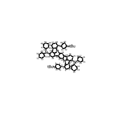 CC(C)(C)c1ccc(-c2cccc3c4c(N(c5ccccc5)c5ccccc5)ccc5c6cc7c(cc6n(c23)c54)c2ccc(N(c3ccccc3)c3ccccc3)c3c4cccc(-c5ccc(C(C)(C)C)cc5)c4n7c23)cc1